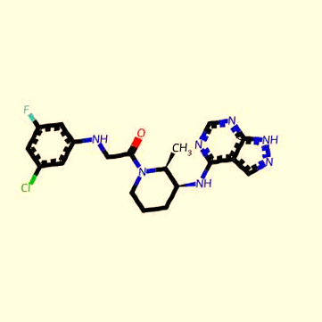 C[C@H]1[C@@H](Nc2ncnc3[nH]ncc23)CCCN1C(=O)CNc1cc(F)cc(Cl)c1